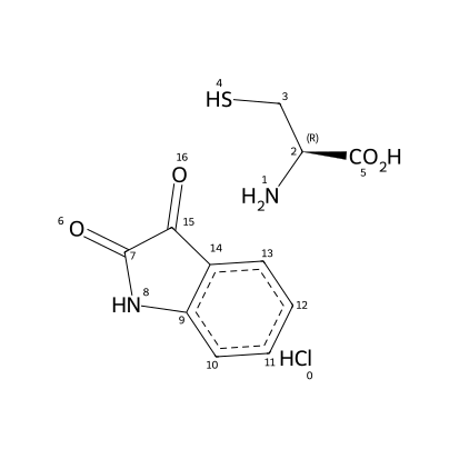 Cl.N[C@@H](CS)C(=O)O.O=C1Nc2ccccc2C1=O